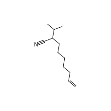 C=CCCCCCC(C#N)C(C)C